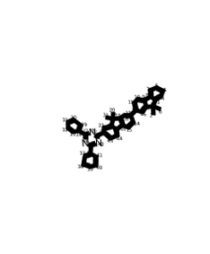 CC1(C)c2ccccc2-c2ccc(-c3ccc4c(c3)C(C)(C)c3cc(-c5nc(-c6ccccc6)nc(-c6ccccc6)n5)ccc3-4)cc21